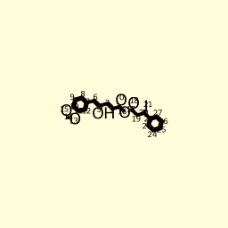 O=C(C=CC(O)=Cc1ccc2c(c1)OCO2)OC(=O)CC(I)c1ccccc1